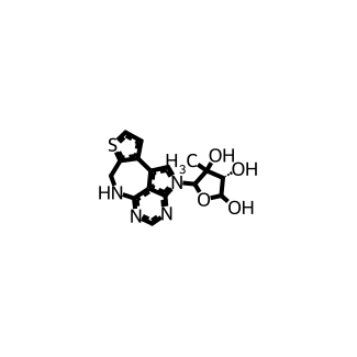 CC1(O)C(n2cc3c4c(ncnc42)NCc2sccc2-3)OC(O)[C@H]1O